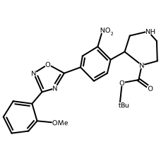 COc1ccccc1-c1noc(-c2ccc(C3CNCCN3C(=O)OC(C)(C)C)c([N+](=O)[O-])c2)n1